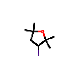 CC1(C)CC(I)C(C)(C)O1